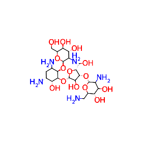 NCC1O[C@H](O[C@@H]2C(O)[C@H](OC3[C@H](O[C@H]4OC(CO)[C@@H](O)[C@H](O)C4N)C(N)C[C@@H](N)[C@H]3O)O[C@@H]2CO)C(N)C(O)[C@@H]1O